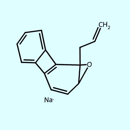 C=CCC12OC1C=CC1=C2c2ccccc21.[Na]